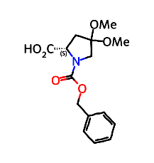 COC1(OC)C[C@@H](C(=O)O)N(C(=O)OCc2ccccc2)C1